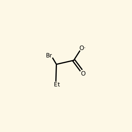 CCC(Br)C([O])=O